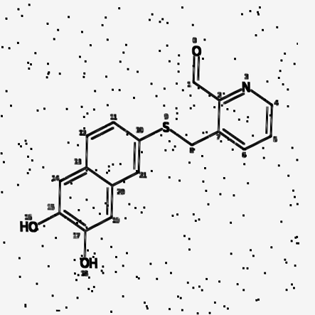 O=Cc1ncccc1CSc1ccc2cc(O)c(O)cc2c1